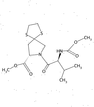 COC(=O)N[C@H](C(=O)N1CC2(C[C@H]1C(=O)OC)SCCS2)C(C)C